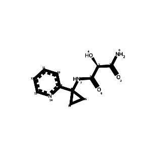 NC(=O)[C@H](O)C(=O)NC1(c2ccccn2)CC1